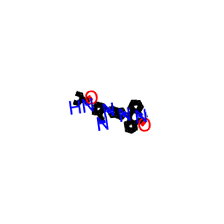 CCC(CC)C(=O)Nc1ccc(N2CC3CN(C4c5ccccc5C(=O)N(C)c5ccccc54)CC3C2)c(C#N)c1